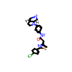 CN1C[C@@H]2CCN(c3ccc(NC(=O)Cc4csc(-c5ccc(Cl)cc5)n4)cc3)[C@@H]2C1